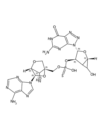 Nc1nc2c(nnn2[C@@H]2O[C@@H]3C(O)C3[C@H]2OP(O)(=S)OC[C@@]23CO[C@@H]([C@H](n4cnc5c(N)ncnc54)O2)[C@@H]3O)c(=O)[nH]1